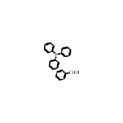 O=Cc1ccccc1.c1ccc(P(c2ccccc2)c2ccccc2)cc1